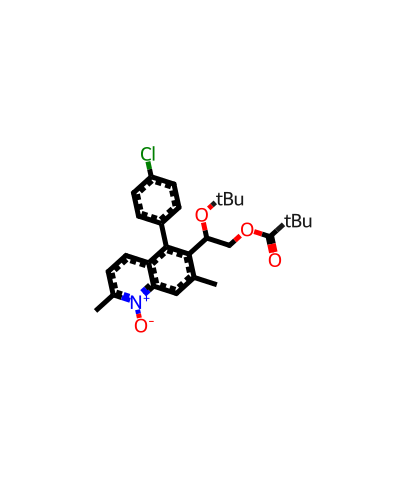 Cc1cc2c(ccc(C)[n+]2[O-])c(-c2ccc(Cl)cc2)c1C(COC(=O)C(C)(C)C)OC(C)(C)C